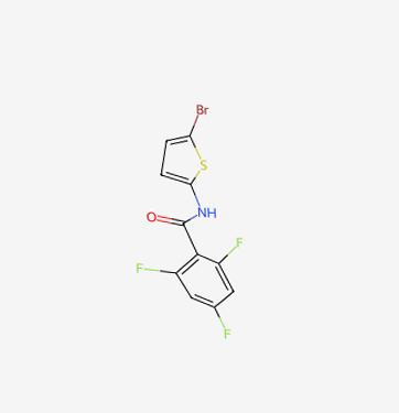 O=C(Nc1ccc(Br)s1)c1c(F)cc(F)cc1F